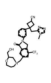 Cn1cnnc1CC1(c2cccc(N3Cc4c(cc(CN5CCCOC(CO)C5)cc4C(F)(F)F)C3=O)c2)CC(C#N)C1